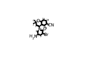 CC1(C)C=C(n2cc(N)cc(Br)c2=O)c2cc(C#N)ccc2O1